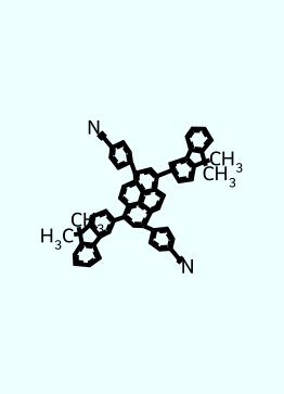 CC1(C)c2ccccc2-c2cc(-c3cc(-c4ccc(C#N)cc4)c4ccc5c(-c6ccc7c(c6)-c6ccccc6C7(C)C)cc(-c6ccc(C#N)cc6)c6ccc3c4c65)ccc21